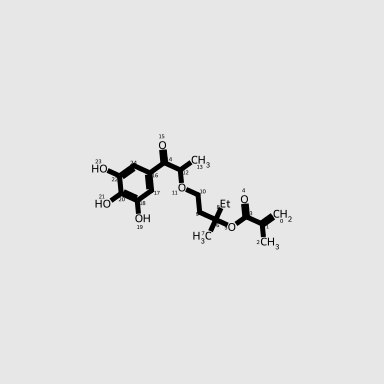 C=C(C)C(=O)OC(C)(CC)CCOC(C)C(=O)c1cc(O)c(O)c(O)c1